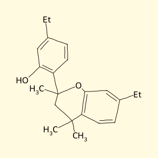 CCc1ccc(C2(C)CC(C)(C)c3ccc(CC)cc3O2)c(O)c1